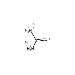 NC(N)=O.[N].[P]